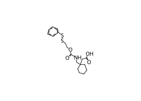 O=C(O)CC1(CNC(=O)OCCSSc2ccccc2)CCCCC1